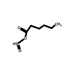 CCCCCC(=O)O[SiH]=O